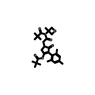 Cc1cc(C)c(C2=C(OC(=O)C(C)(C)C)CC(CC(=O)N(C(=O)C(C)(C)C)C3(C)COC3)C2=O)c(C)c1